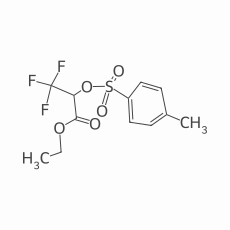 CCOC(=O)C(OS(=O)(=O)c1ccc(C)cc1)C(F)(F)F